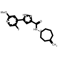 C=C1CCC[C@@H](NC(=O)c2cc(-c3cc(OC)ncc3F)[nH]n2)CC1